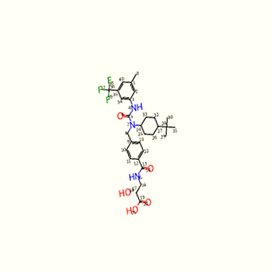 Cc1cc(NC(=O)N(Cc2ccc(C(=O)NC[C@@H](O)C(=O)O)cc2)C2CCC(C(C)(C)C)CC2)cc(C(F)(F)F)c1